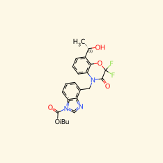 CC(C)COC(=O)n1cnc2c(CN3C(=O)C(F)(F)Oc4c([C@H](C)O)cccc43)cccc21